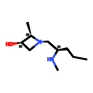 CCC[C@H](CN1C[C@H](O)[C@@H]1C)NC